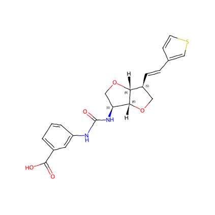 O=C(Nc1cccc(C(=O)O)c1)N[C@H]1CO[C@H]2[C@@H]1OC[C@@H]2C=Cc1ccsc1